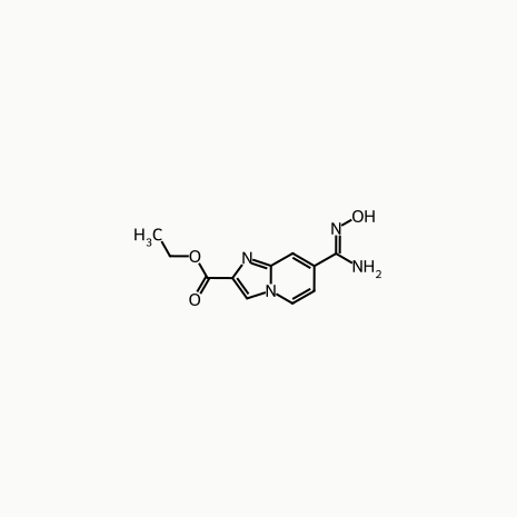 CCOC(=O)c1cn2ccc(C(N)=NO)cc2n1